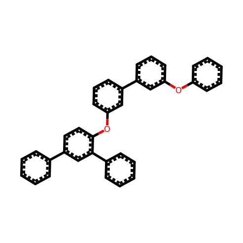 c1ccc(Oc2cccc(-c3cccc(Oc4ccc(-c5ccccc5)cc4-c4ccccc4)c3)c2)cc1